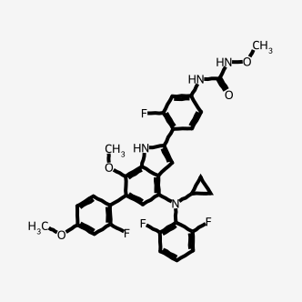 CONC(=O)Nc1ccc(-c2cc3c(N(c4c(F)cccc4F)C4CC4)cc(-c4ccc(OC)cc4F)c(OC)c3[nH]2)c(F)c1